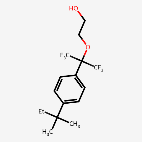 CCC(C)(C)c1ccc(C(OCCO)(C(F)(F)F)C(F)(F)F)cc1